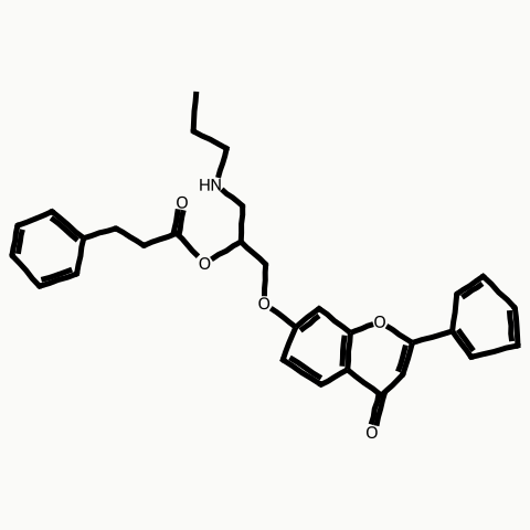 CCCNCC(COc1ccc2c(=O)cc(-c3ccccc3)oc2c1)OC(=O)CCc1ccccc1